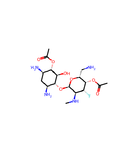 CN[C@H]1[C@@H](O[C@H]2[C@H](O)[C@@H](OC(C)=O)[C@H](N)C[C@@H]2N)O[C@H](CN)[C@H](OC(C)=O)[C@@H]1F